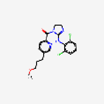 COCCCc1ccc(C(=O)N2CCN=C2Nc2c(Cl)cccc2Cl)nc1